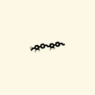 C/C=C/C1=CCC(C2CC=C(CCC3CCC(C4=CCC(C5CO5)C(F)=C4F)CC3)C(F)=C2F)C=C1